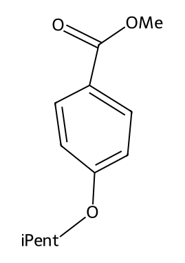 CCCC(C)Oc1ccc(C(=O)OC)cc1